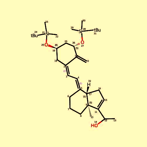 C=C1/C(=C\C=C2/CCC[C@]3(C)C(C(C)O)=CC[C@@H]23)C[C@@H](O[Si](C)(C)C(C)(C)C)C[C@@H]1O[Si](C)(C)C(C)(C)C